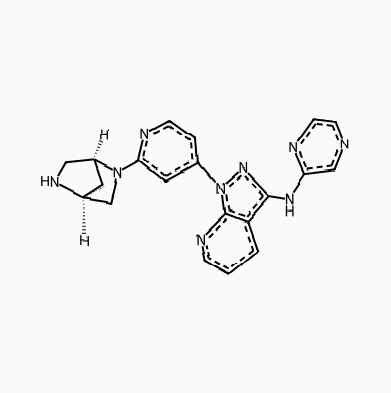 c1cnc2c(c1)c(Nc1cnccn1)nn2-c1ccnc(N2C[C@@H]3C[C@H]2CN3)c1